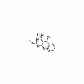 CCSc1nc(N)c(C(OC)c2ccccc2)c(N)n1